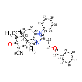 C[C@@H]1C(=O)C(C#N)=C[C@]2(C)c3nc(CCOCc4ccccc4)n(-c4ccccc4)c3CC[C@@H]12